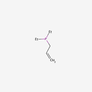 C=CCP(CC)CC